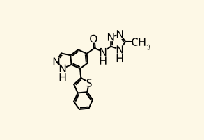 Cc1nnc(NC(=O)c2cc(-c3cc4ccccc4s3)c3[nH]ncc3c2)[nH]1